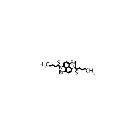 CCCCC(=S)NC1=CC=C(Br)C2C1=C(Br)C=CC2NC(=S)CCCC